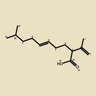 C=C(C)C(CCC=CCCC(C)C)C(=O)O